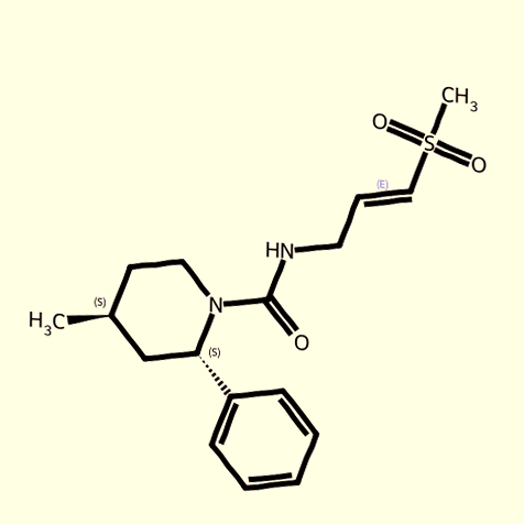 C[C@H]1CCN(C(=O)NC/C=C/S(C)(=O)=O)[C@H](c2ccccc2)C1